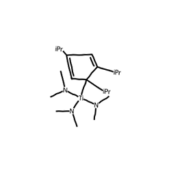 CC(C)C1=C[C](C(C)C)([Ti]([N](C)C)([N](C)C)[N](C)C)C(C(C)C)=C1